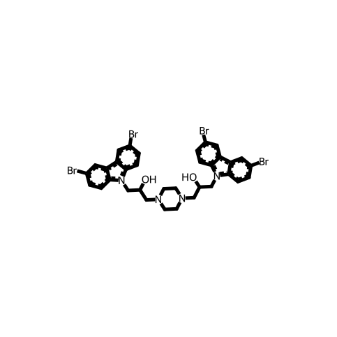 OC(CN1CCN(CC(O)Cn2c3ccc(Br)cc3c3cc(Br)ccc32)CC1)Cn1c2ccc(Br)cc2c2cc(Br)ccc21